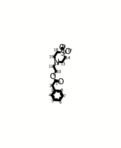 O=C(Cc1ccccc1)OCCN1CCS(=O)(=O)CC1